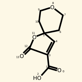 O=C(O)C1=CC2(CCOCC2)OC1=O